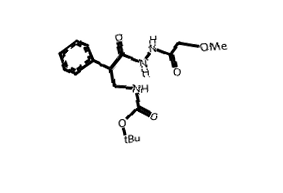 COCC(=O)NNC(=O)C(CNC(=O)OC(C)(C)C)c1ccccc1